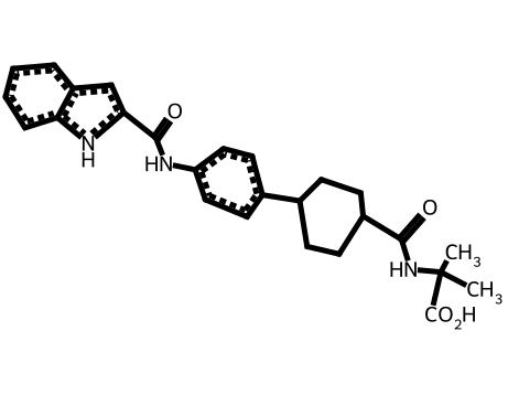 CC(C)(NC(=O)C1CCC(c2ccc(NC(=O)c3cc4ccccc4[nH]3)cc2)CC1)C(=O)O